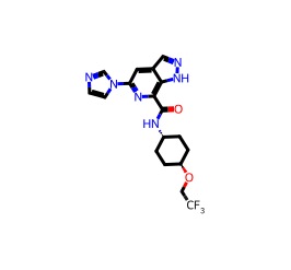 O=C(N[C@H]1CC[C@H](OCC(F)(F)F)CC1)c1nc(-n2ccnc2)cc2cn[nH]c12